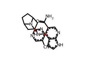 N#Cc1cnc(N2C3CCC2CC(Nc2c(C(N)=O)cnc4[nH]ccc24)C3)nc1